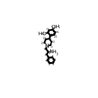 N[C@H](Cc1ccccc1)CN1CCC(c2ccc(O)cc2O)CC1